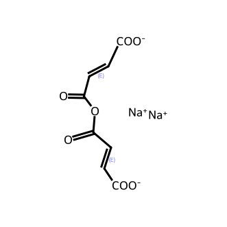 O=C([O-])/C=C/C(=O)OC(=O)/C=C/C(=O)[O-].[Na+].[Na+]